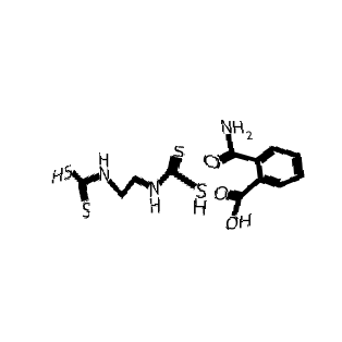 NC(=O)c1ccccc1C(=O)O.S=C(S)NCCNC(=S)S